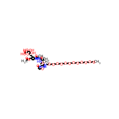 COCCOCCOCCOCCOCCOCCOCCOCCOCCOCCOCCOCCn1cc([C@@H](CC(=O)N[C@H](C(=O)N[C@@H](C)C(=O)Nc2ccc(COC(C)=O)c(CC[C@@H]3O[C@H](C(=O)O)[C@@H](O)[C@H](O)[C@H]3O)c2)C(C)C)N2C(=O)C=CC2=O)nn1